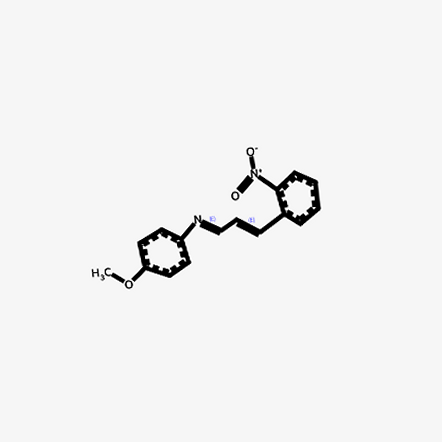 COc1ccc(/N=C/C=C/c2ccccc2[N+](=O)[O-])cc1